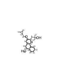 CC(C)(O)Cc1nc2c(cc1OCC1CC1)cc(O)c1ccccc12